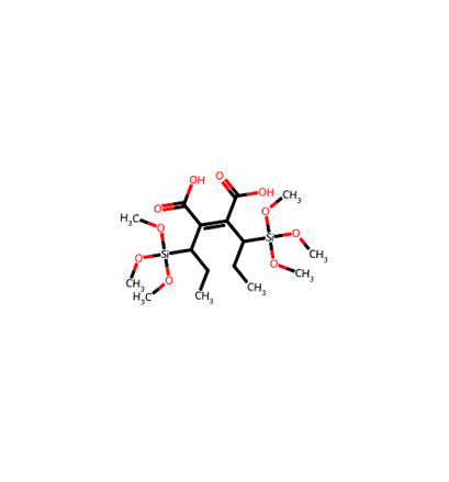 CCC(C(C(=O)O)=C(C(=O)O)C(CC)[Si](OC)(OC)OC)[Si](OC)(OC)OC